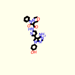 Nc1ncnc2c1c(-c1ccc(NC(=O)c3c4n(n(-c5ccccc5)c3=O)CCOC4)nc1)cn2[C@H]1CC[C@H](O)CC1